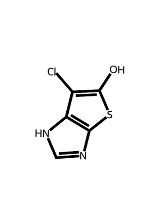 Oc1sc2nc[nH]c2c1Cl